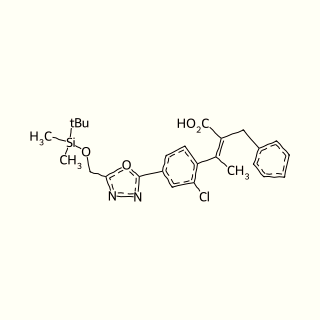 CC(=C(Cc1ccccc1)C(=O)O)c1ccc(-c2nnc(CO[Si](C)(C)C(C)(C)C)o2)cc1Cl